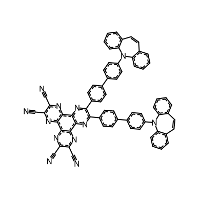 N#Cc1nc2c3nc(C#N)c(C#N)nc3c3nc(-c4ccc(-c5ccc(N6c7ccccc7C=Cc7ccccc76)cc5)cc4)c(-c4ccc(-c5ccc(N6c7ccccc7C=Cc7ccccc76)cc5)cc4)nc3c2nc1C#N